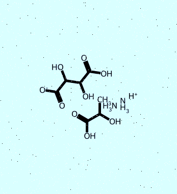 CC(O)C(=O)O.N.N.O=C([O-])C(O)C(O)C(=O)O.[H+]